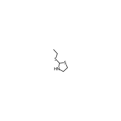 CCSC1NCCS1